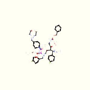 CC(C)[C@H](NC(=O)OCc1ccccc1)C(=O)C(C(CN(Cc1ccc(F)cc1)NC(=O)OC(C)(C)C)OC(=O)c1ccc(CN2CCOCC2)cc1)C(N)c1ccc(F)cc1